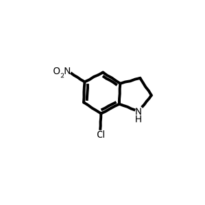 O=[N+]([O-])c1cc(Cl)c2c(c1)CCN2